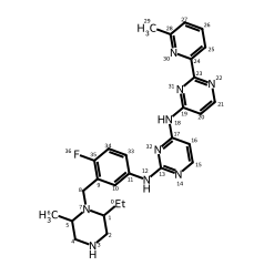 CCC1CNCC(C)N1Cc1cc(Nc2nccc(Nc3ccnc(-c4cccc(C)n4)n3)n2)ccc1F